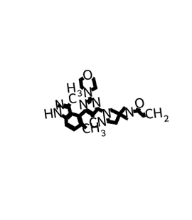 C=CC(=O)N1CC2(CCN(c3nc(N4CCOCC4)nc(-c4c(C)ccc5[nH]nc(C)c45)c3C#N)C2)C1